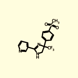 CS(=O)(=O)c1ccc(C2(C(F)(F)F)CNC(c3cccnc3)=N2)cc1